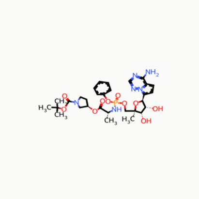 C[C@@H](NP(=O)(OC[C@@]1(C)O[C@@H](c2ccc3c(N)ncnn23)[C@H](O)[C@@H]1O)Oc1ccccc1)C(=O)O[C@@H]1CCN(C(=O)OC(C)(C)C)C1